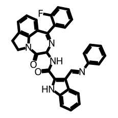 O=C(NC1N=C(c2ccccc2F)c2cccc3c2N(CC3)C1=O)c1[nH]c2ccccc2c1C=Nc1ccccc1